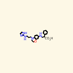 O=C(O)C(CNc1ccc2c(c1)OCCN2CCCNc1ncc[nH]1)c1ccccc1